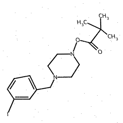 CC(C)(C)C(=O)ON1CCN(Cc2cccc(I)c2)CC1